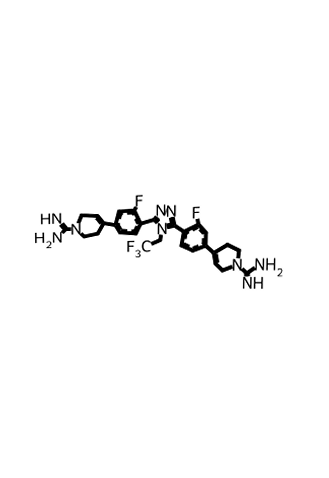 N=C(N)N1CC=C(c2ccc(-c3nnc(-c4ccc(C5=CCN(C(=N)N)CC5)cc4F)n3CC(F)(F)F)c(F)c2)CC1